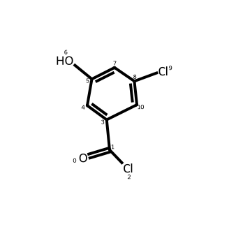 O=C(Cl)c1cc(O)cc(Cl)c1